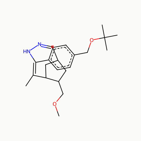 COCC1CC2/C=N\N/C(c3ccc(COC(C)(C)C)cc3)=C(\C)C1C2